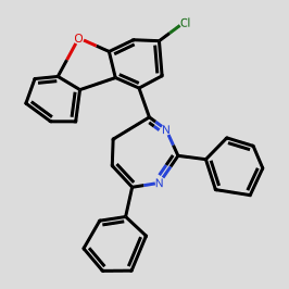 Clc1cc(C2=NC(c3ccccc3)=NC(c3ccccc3)=CC2)c2c(c1)oc1ccccc12